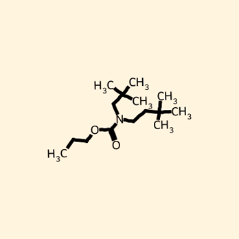 CCCOC(=O)N(CCC(C)(C)C)CC(C)(C)C